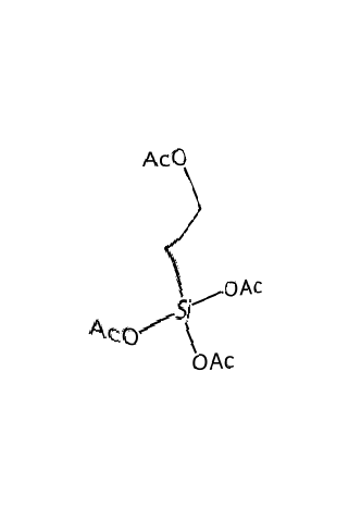 CC(=O)OCC[Si](OC(C)=O)(OC(C)=O)OC(C)=O